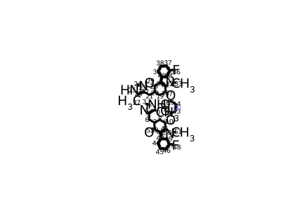 Cc1[nH]cnc1CC1CC(OC(=O)/C=C\C(=O)OC2CC(Cc3nc[nH]c3C)C(=O)c3c2n(C)c2c(F)cccc32)c2c(c3cccc(F)c3n2C)C1=O